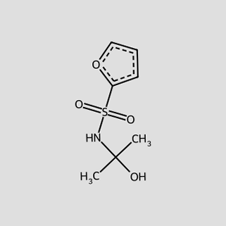 CC(C)(O)NS(=O)(=O)c1ccco1